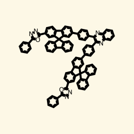 c1ccc(-c2nnc(-c3ccc4c(c3)C3(c5ccccc5-c5ccccc53)c3cc(-c5ccc(-c6nc7ccccc7nc6-c6ccc(-c7ccc8c(c7)C7(c9ccccc9-c9ccccc97)c7cc(-c9nnc(-c%10ccccc%10)o9)ccc7-8)cc6)cc5)ccc3-4)o2)cc1